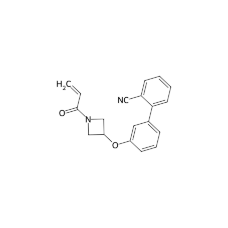 C=CC(=O)N1CC(Oc2cccc(-c3ccccc3C#N)c2)C1